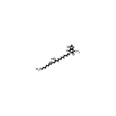 CCCCCCCCNCC(O)CCCCCCCCCn1c(=O)c2[nH]cnc2n(C)c1=O